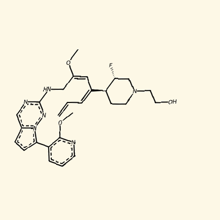 C=C/C=C(\C=C(/CNc1ncc2ccc(-c3cccnc3OC)n2n1)OC)[C@@H]1CCN(CCO)C[C@H]1F